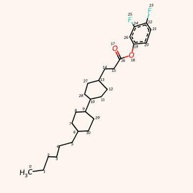 CCCCCCC1CCC(C2CCC(CCC(=O)Oc3ccc(F)c(F)c3)CC2)CC1